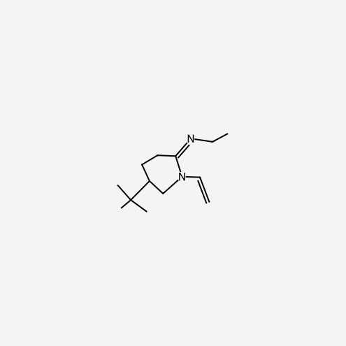 C=CN1CC(C(C)(C)C)CC/C1=N/CC